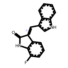 O=C1Nc2c(F)cccc2/C1=C\c1c[nH]c2ccccc12